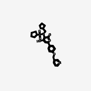 O=c1oc(-c2ccc(OCc3cccnc3)cc2)cc(O)c1N(CC1CCCC1)S(=O)(=O)C1CCCC1